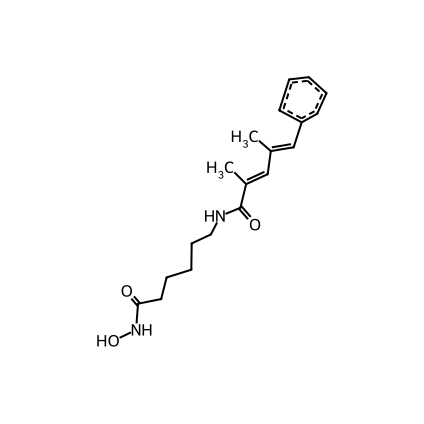 CC(=C\c1ccccc1)/C=C(\C)C(=O)NCCCCCC(=O)NO